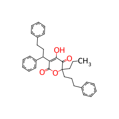 CCCC1(CCCc2ccccc2)OC(=O)C(C(CCc2ccccc2)c2ccccc2)=C(O)C1=O